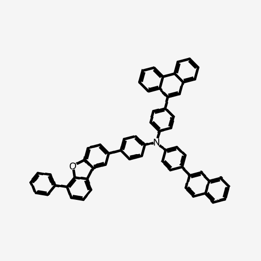 c1ccc(-c2cccc3c2oc2ccc(-c4ccc(N(c5ccc(-c6ccc7ccccc7c6)cc5)c5ccc(-c6cc7ccccc7c7ccccc67)cc5)cc4)cc23)cc1